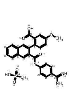 COc1ccc(-c2cc3ccccc3cc2C(=O)Nc2ccc(C(=N)N)cc2)c(C(=O)O)c1.CS(=O)(=O)O